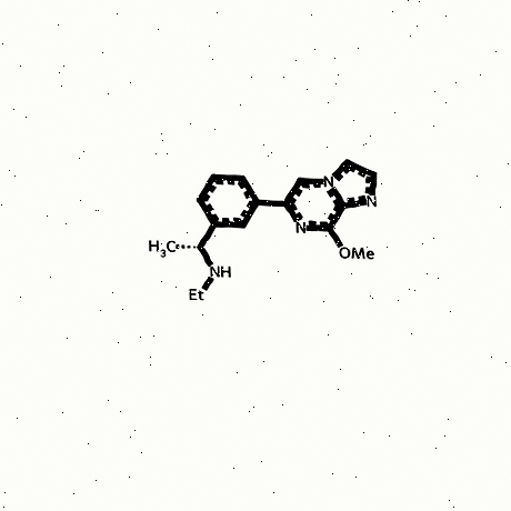 CCN[C@H](C)c1cccc(-c2cn3ccnc3c(OC)n2)c1